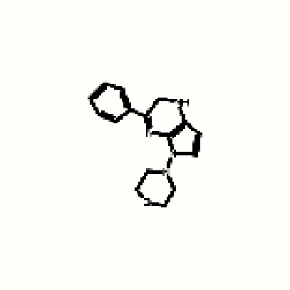 c1ccc(C2=Nc3c(ccn3N3CCOCC3)NC2)cc1